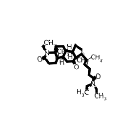 CCN(CC)C(=O)CCC[C@@H](C)[C@H]1CC[C@H]2[C@@H]3CC=C4N(CC)C(=O)CC[C@]4(C)[C@H]3CC(=O)[C@]12C